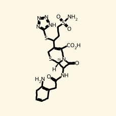 NC1=C(CC(=O)NC2C(=O)N3C(C(=O)O)=C(C(CCS(N)(=O)=O)Sc4nnn[nH]4)CS[C@@H]23)CC=CC1